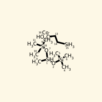 C[SiH](O[Si](C)(C)C)O[Si](C)(C)C.O=C(O)CC[SiH3].[Co]